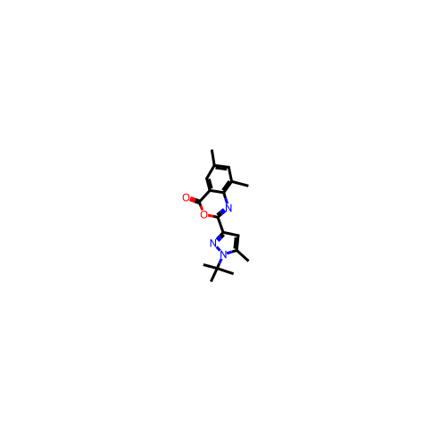 Cc1cc(C)c2nc(-c3cc(C)n(C(C)(C)C)n3)oc(=O)c2c1